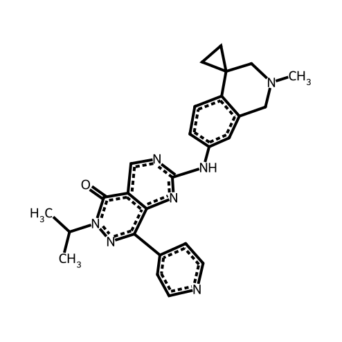 CC(C)n1nc(-c2ccncc2)c2nc(Nc3ccc4c(c3)CN(C)CC43CC3)ncc2c1=O